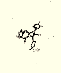 Cc1cc(-n2c(C(C)C)c(C3CC[C@@](C)(C(=O)O)C3)c3c(F)c4[nH]ncc4cc32)ccc1F